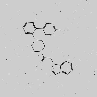 COc1ncc(-c2ccccc2N2CCN(C(=O)Cn3ncc4ccccc43)CC2)cn1